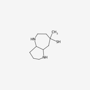 CC1(S)CCNC2CCCNC2C1